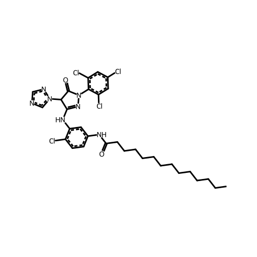 CCCCCCCCCCCCCC(=O)Nc1ccc(Cl)c(NC2=NN(c3c(Cl)cc(Cl)cc3Cl)C(=O)C2n2cncn2)c1